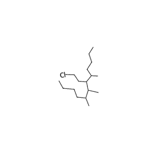 CCCCC(C)C(C)C(CCCl)C(C)CCCC